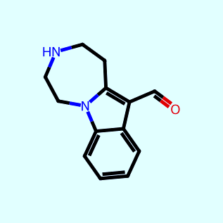 O=Cc1c2n(c3ccccc13)CCNCC2